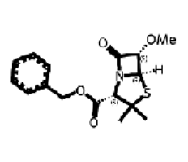 CO[C@H]1C(=O)N2[C@@H]1SC(C)(C)[C@@H]2C(=O)OCc1ccccc1